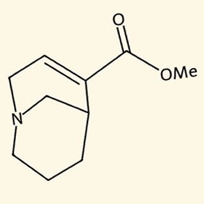 COC(=O)C1=CCN2CCCC1C2